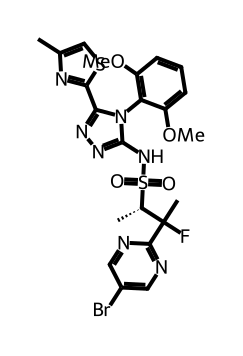 COc1cccc(OC)c1-n1c(NS(=O)(=O)[C@@H](C)C(C)(F)c2ncc(Br)cn2)nnc1-c1nc(C)cs1